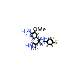 COc1cc(-c2[nH]c(-c3ccc(F)cc3)nc2-c2cn[nH]c2)cnc1N